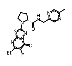 CCc1nc2sc(N3CCC[C@@H]3C(=O)NCc3cnc(C)cn3)nn2c(=O)c1F